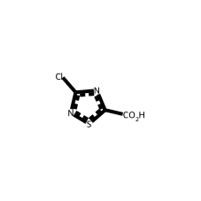 O=C(O)c1nc(Cl)ns1